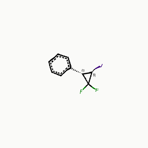 FC1(F)[C@H](I)[C@H]1c1ccccc1